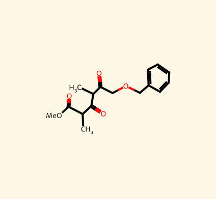 COC(=O)C(C)C(=O)C(C)C(=O)COCc1ccccc1